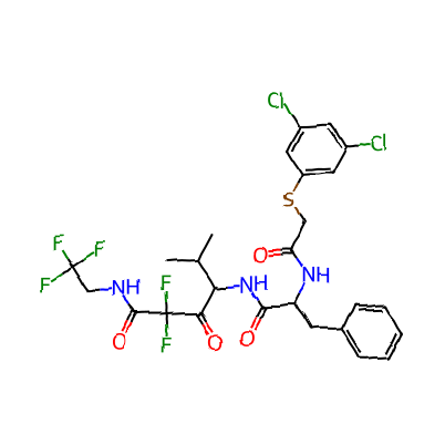 CC(C)C(NC(=O)C(Cc1ccccc1)NC(=O)CSc1cc(Cl)cc(Cl)c1)C(=O)C(F)(F)C(=O)NCC(F)(F)F